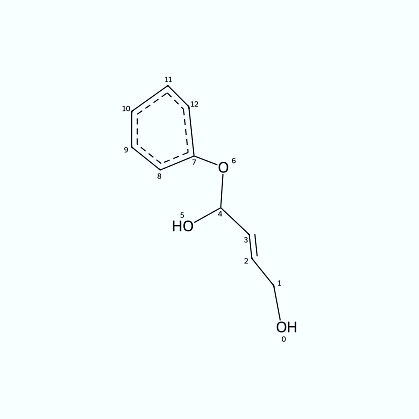 OCC=CC(O)Oc1ccccc1